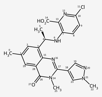 Cc1cc([C@@H](C)Nc2ccc(Cl)nc2C(=O)O)c2nc(-c3cnn(C)c3)n(C)c(=O)c2c1